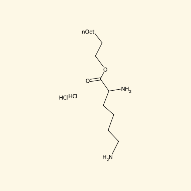 CCCCCCCCCCOC(=O)C(N)CCCCN.Cl.Cl